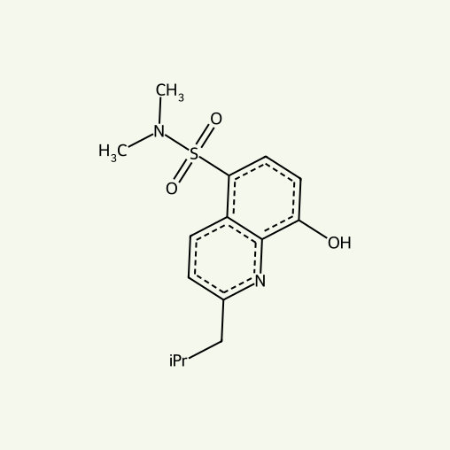 CC(C)Cc1ccc2c(S(=O)(=O)N(C)C)ccc(O)c2n1